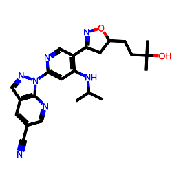 CC(C)Nc1cc(-n2ncc3cc(C#N)cnc32)ncc1C1=NOC(CCC(C)(C)O)C1